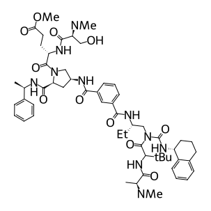 CC[C@@H](CN(C(=O)N[C@@H]1CCCc2ccccc21)C(=O)C(NC(=O)[C@H](C)NC)C(C)(C)C)NC(=O)c1cccc(C(=O)N[C@H]2C[C@@H](C(=O)N[C@H](C)c3ccccc3)N(C(=O)[C@H](CCC(=O)OC)NC(=O)[C@H](CO)NC)C2)c1